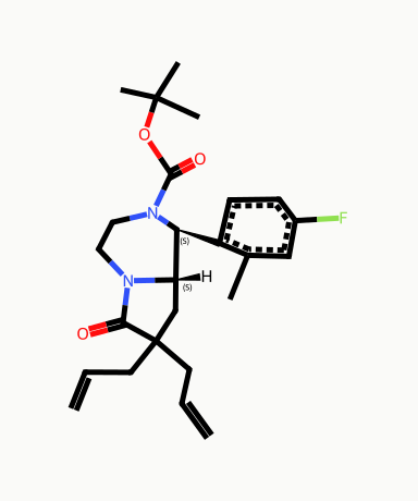 C=CCC1(CC=C)C[C@H]2[C@H](c3ccc(F)cc3C)N(C(=O)OC(C)(C)C)CCN2C1=O